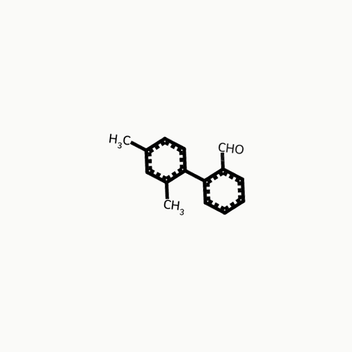 Cc1ccc(-c2ccccc2C=O)c(C)c1